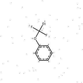 CCC(F)(F)Oc1c[c]ccc1